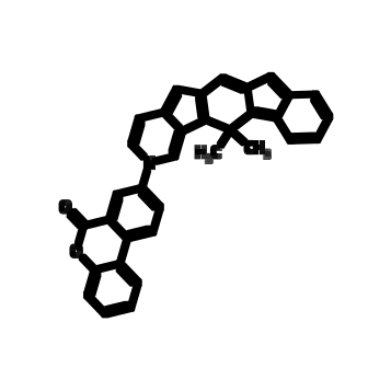 CC1(C)C2=c3ccccc3=CC2=Cc2cc3ccn(-c4ccc5c(c4)c(=O)oc4ccccc45)cc-3c21